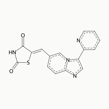 O=C1NC(=O)/C(=C/c2ccc3ncc(-c4ccccn4)n3c2)S1